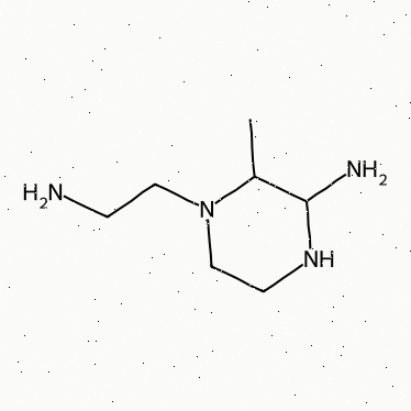 CC1C(N)NCCN1CCN